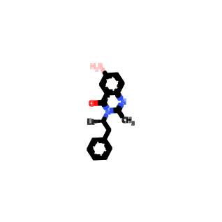 Bc1ccc2nc(C)n([C@H](CC)Cc3ccccc3)c(=O)c2c1